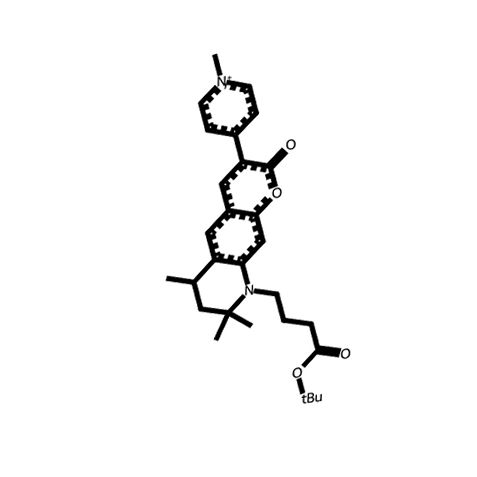 CC1CC(C)(C)N(CCCC(=O)OC(C)(C)C)c2cc3oc(=O)c(-c4cc[n+](C)cc4)cc3cc21